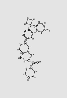 Cc1ccc(C2(c3ccc(N4CCc5ncc(C(=O)N6CCOCC6)nc5C4)cc3)CCC2)cc1